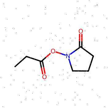 CCC(=O)ON1CCCC1=O